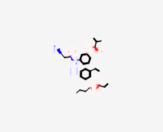 C=C(C)C(=O)Oc1cccc(NC(=O)CC#N)c1.C=CC(=O)OCCCC.C=Cc1ccccc1